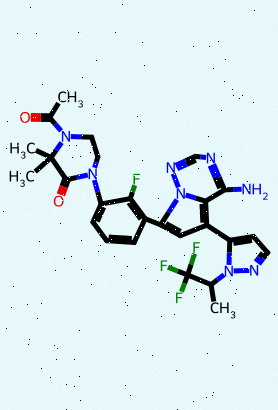 CC(=O)N1CCN(c2cccc(-c3cc(-c4ccnn4C(C)C(F)(F)F)c4c(N)ncnn34)c2F)C(=O)C1(C)C